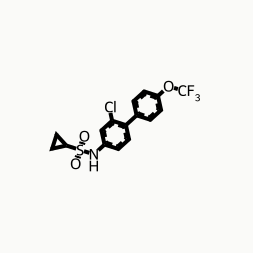 O=S(=O)(Nc1ccc(-c2ccc(OC(F)(F)F)cc2)c(Cl)c1)C1CC1